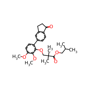 COc1ccc(-c2ccc3c(c2)CCC3=O)c(OCC(C)(C)C(=O)OCC(C)C)c1OC